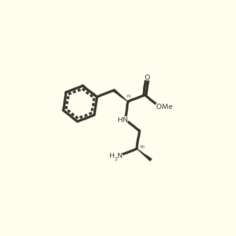 COC(=O)[C@H](Cc1ccccc1)NC[C@@H](C)N